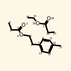 CCC(=O)OCCc1ccc(C)cc1.CCOC(=O)CC